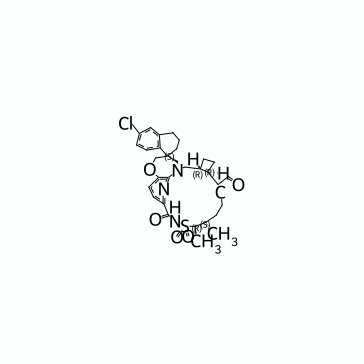 C[C@@H]1[C@@H](C)CCCC(C=O)[C@@H]2CC[C@H]2CN2C[C@@]3(CCCc4cc(Cl)ccc43)COc3ccc(nc32)C(=O)NS1(=O)=O